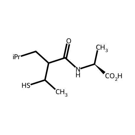 CC(C)CC(C(=O)N[C@@H](C)C(=O)O)C(C)S